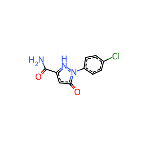 NC(=O)c1cc(=O)n(-c2ccc(Cl)cc2)[nH]1